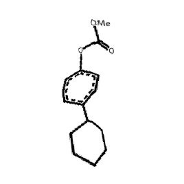 COC(=O)Oc1ccc(C2CCCCC2)cc1